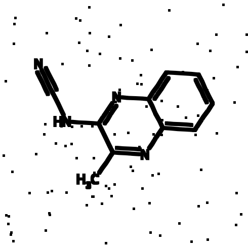 Cc1nc2ccccc2nc1NC#N